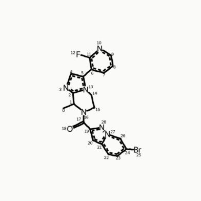 CC1c2ncc(-c3cccnc3F)n2CCN1C(=O)c1cc2ccc(Br)cn2n1